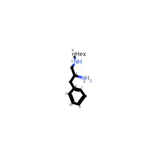 CCCCCCNCC(N)Cc1ccccc1